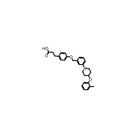 Cc1ccccc1OC1CCN(c2cccc(COc3ccc(CCC(=O)O)cc3)c2)CC1